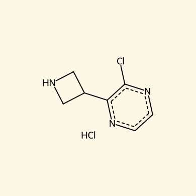 Cl.Clc1nccnc1C1CNC1